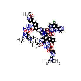 CCn1nc(S(=O)(=O)NC(=O)Nc2c(-c3ccnc(OC)c3)ccc3c2CCC3CN(C)CCn2nc(S(=O)(=O)NC(=O)Nc3c(-c4cccnc4)cc(F)c4c3CCC4)cc2-c2cnc(OC)cc2-c2ccc3c(c2NC(=O)NS(=O)(=O)c2ccn(CCN(C)C)n2)CCC3)cc1CN(C)C